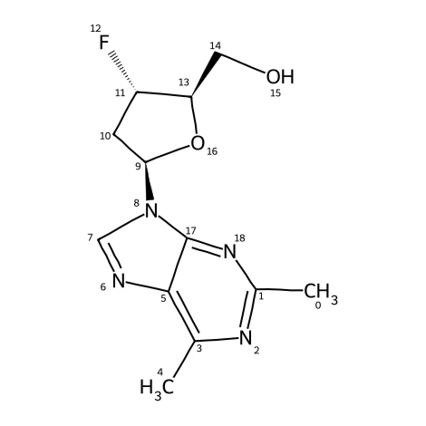 Cc1nc(C)c2ncn([C@H]3C[C@H](F)[C@@H](CO)O3)c2n1